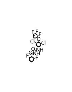 O=C(NC(=O)c1c(F)cccc1F)Nc1cc(Cl)c(OC(F)C(F)C(F)(F)F)c(Cl)c1